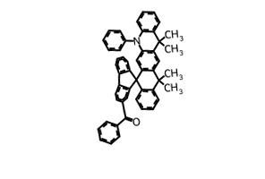 CC1(C)c2ccccc2N(c2ccccc2)c2cc3c(cc21)C(C)(C)c1ccccc1C31c2ccccc2-c2ccc(C(=O)c3ccccc3)cc21